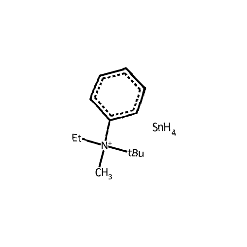 CC[N+](C)(c1ccccc1)C(C)(C)C.[SnH4]